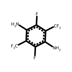 Nc1c(F)c(C(F)(F)F)c(N)c(F)c1C(F)(F)F